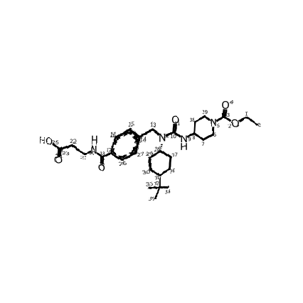 CCOC(=O)N1CCC(NC(=O)N(Cc2ccc(C(=O)NCCC(=O)O)cc2)[C@H]2CC[C@H](C(C)(C)C)CC2)CC1